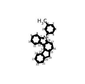 Cc1cccc(-n2c3ccccc3c3c4c(ccc32)Cc2ccccc2-4)c1